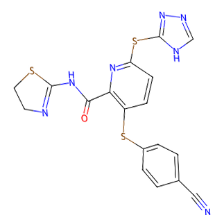 N#Cc1ccc(Sc2ccc(Sc3nnc[nH]3)nc2C(=O)NC2=NCCS2)cc1